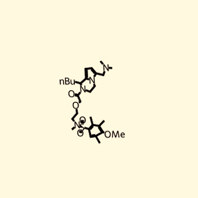 CCCCC1c2ccc(CN(C)C)n2CCN1C(=O)COCCN(C)S(=O)(=O)c1cc(C)c(OC)c(C)c1C